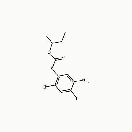 CCC(C)OC(=O)Sc1cc(N)c(F)cc1Cl